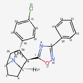 CN1C2CC[C@@H]1[C@H](c1nc(-c3ccccc3)no1)[C@@H](c1ccc(Cl)cc1)C2